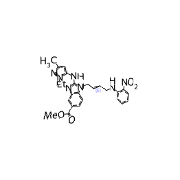 CCn1nc(C)cc1Nc1nc2cc(C(=O)OC)ccc2n1C/C=C/CNc1ccccc1[N+](=O)[O-]